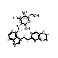 OC[C@H]1O[C@@H](O)[C@H](OOc2cccc3[nH]cc(CCc4ccc5c(c4)OCCO5)c23)[C@@H](O)[C@@H]1O